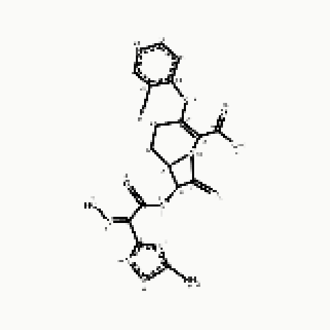 Nc1nc(/C(=N/O)C(=O)N[C@@H]2C(=O)N3C(C(=O)O)=C(Sc4ccncc4F)CCC23)ns1